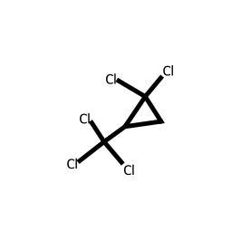 ClC(Cl)(Cl)C1CC1(Cl)Cl